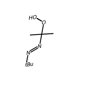 CC(C)(C)N=NC(C)(C)OO